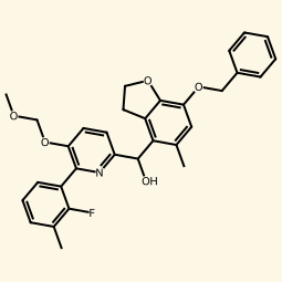 COCOc1ccc(C(O)c2c(C)cc(OCc3ccccc3)c3c2CCO3)nc1-c1cccc(C)c1F